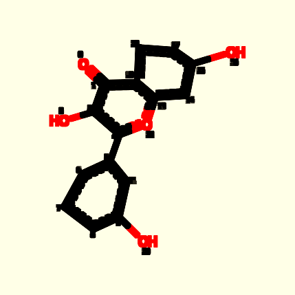 O=c1c(O)c(-c2cccc(O)c2)oc2cc(O)ccc12